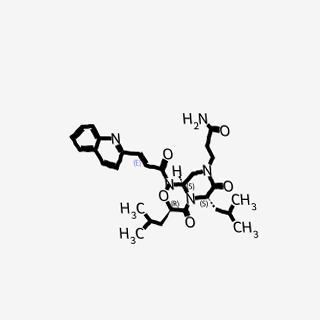 CC(C)C[C@H]1ON(C(=O)/C=C/c2ccc3ccccc3n2)[C@H]2CN(CCC(N)=O)C(=O)[C@H](CC(C)C)N2C1=O